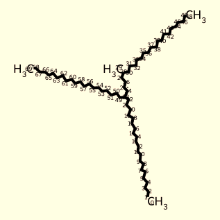 CCCCCCCCCCCCCCCCCCCCCCCC(C[CH]CCC(C)CCCCCCCCCCCCCCCCCCC)CCCCCCCCCCCCCCCCCCCCC